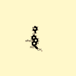 CC#C[C@@]1(O)CC[C@@]2(CCCCC)c3ccc(OCc4cccnc4)cc3CC[C@@H]2C1